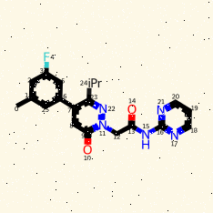 Cc1cc(F)cc(-c2cc(=O)n(CC(=O)Nc3ncccn3)nc2C(C)C)c1